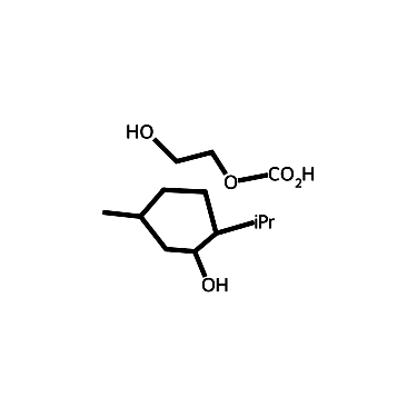 CC1CCC(C(C)C)C(O)C1.O=C(O)OCCO